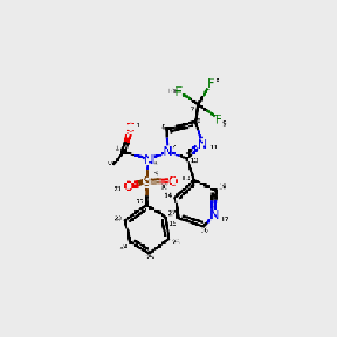 CC(=O)N(n1cc(C(F)(F)F)nc1-c1cccnc1)S(=O)(=O)c1ccccc1